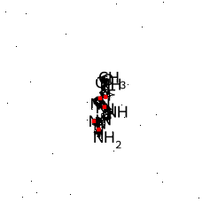 CS(=O)(=O)NCc1cc(F)cc(-c2ccnc3[nH]c(-c4n[nH]c5cnc(-c6cncc(N7CC(N)C7)n6)cc45)nc23)c1